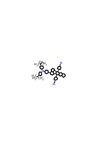 CC(C)(C)c1ccc(N(c2ccc(-c3ccc4c5c(cccc35)-c3c-4c(-c4ccc(C#N)cc4)c4cc5ccccc5cc4c3-c3ccc(C#N)cc3)cc2)c2ccc(C(C)(C)C)cc2)cc1